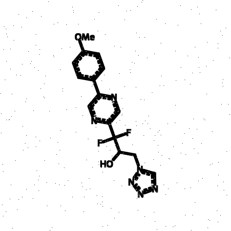 COc1ccc(-c2cnc(C(F)(F)C(O)Cn3cnnn3)cn2)cc1